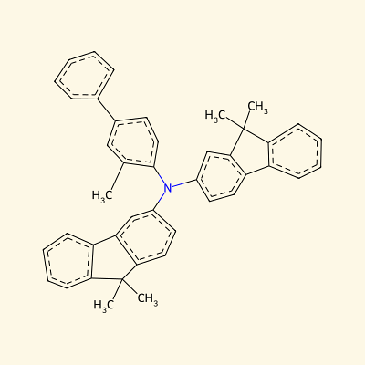 Cc1cc(-c2ccccc2)ccc1N(c1ccc2c(c1)-c1ccccc1C2(C)C)c1ccc2c(c1)C(C)(C)c1ccccc1-2